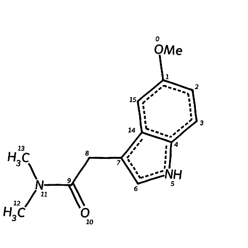 COc1ccc2[nH]cc(CC(=O)N(C)C)c2c1